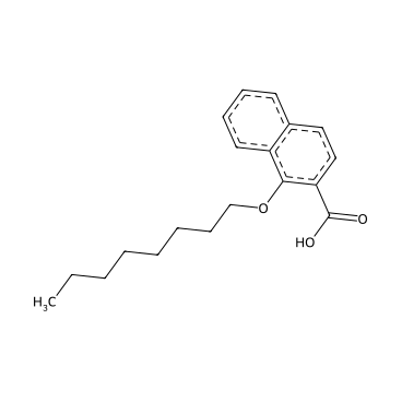 CCCCCCCCOc1c(C(=O)O)ccc2ccccc12